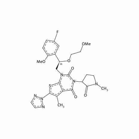 COCCO[C@@H](Cn1c(=O)n(C2CCN(C)C2=O)c(=O)c2c(C)c(-n3nccn3)sc21)c1cc(F)ccc1OC